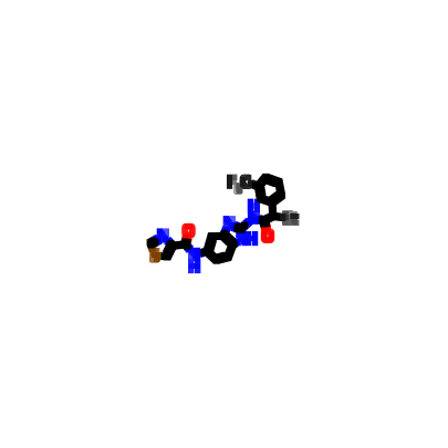 CCC(C(=O)Nc1nc2cc(NC(=O)c3cscn3)ccc2[nH]1)c1cccc(C(F)(F)F)c1